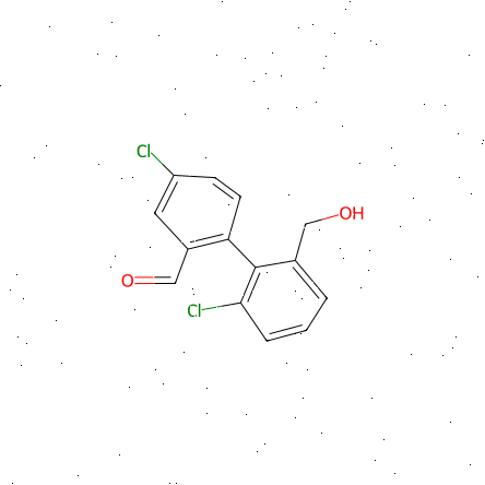 O=Cc1cc(Cl)ccc1-c1c(Cl)cccc1CO